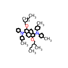 CCCCC(CC)COc1cc(N(c2ccccc2)c2ccc(C)cc2)c2ccc3c(OCC(CC)CCCC)cc(N(c4ccc(C)cc4)c4ccc(C)cc4)c4ccc1c2c34